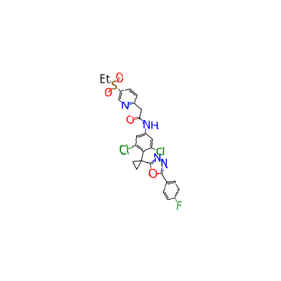 CCS(=O)(=O)c1ccc(CC(=O)Nc2cc(Cl)c(C3(c4nnc(-c5ccc(F)cc5)o4)CC3)c(Cl)c2)nc1